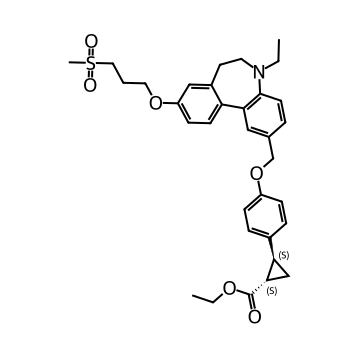 CCOC(=O)[C@H]1C[C@@H]1c1ccc(OCc2ccc3c(c2)-c2ccc(OCCCS(C)(=O)=O)cc2CCN3CC)cc1